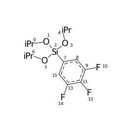 CC(C)O[Si](OC(C)C)(OC(C)C)c1cc(F)c(F)c(F)c1